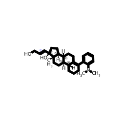 CN(C)c1ccccc1C1=C2CC[C@@H]3[C@H](CC[C@@]4(C)[C@H]3CC[C@@]4(O)/C=C/CO)[C@H]2CCC1